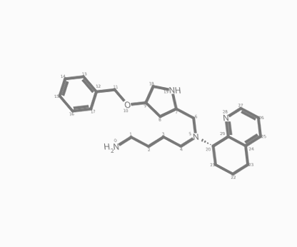 NCCCCN(CC1CC(OCc2ccccc2)CN1)[C@H]1CCCc2cccnc21